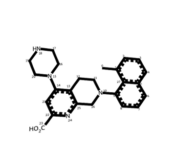 Cc1cccc2cccc(N3CCc4c(N5CCNCC5)cc(C(=O)O)nc4C3)c12